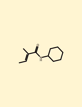 CC=C(C)C(=O)NC1CCCCC1